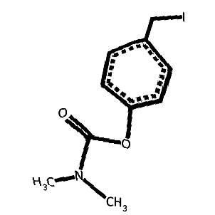 CN(C)C(=O)Oc1ccc(CI)cc1